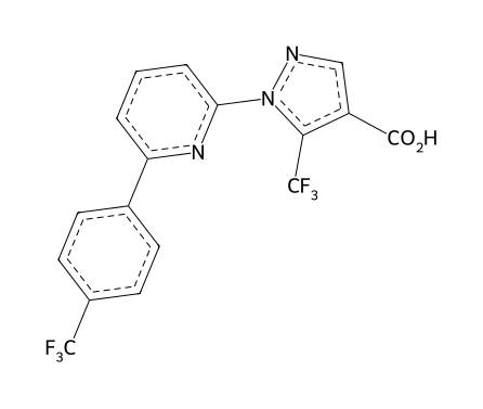 O=C(O)c1cnn(-c2cccc(-c3ccc(C(F)(F)F)cc3)n2)c1C(F)(F)F